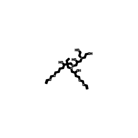 C=COCOCCCCC(O)C(CC)(COCC(O)CCOCOC=C)COCC(O)CN(CCO)CCO